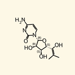 CC(C)=C(O)[C@H]1O[C@@H](n2ccc(N)nc2=O)[C@H](O)[C@@H]1O